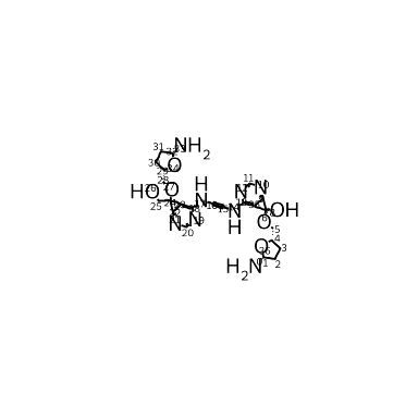 N[C@H]1CC[C@@H](COC2(O)c3ncnc(NC#CNc4ncnc5c4C5(CO)OC[C@@H]4CC[C@H](N)O4)c32)O1